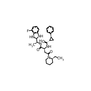 CC[C@H]1CCCCN1C(=O)C[C@H](NC(=O)[C@H]1C[C@@H]1c1ccccc1)C(=O)N[C@@H](C)C1Nc2cccc(F)c2N1